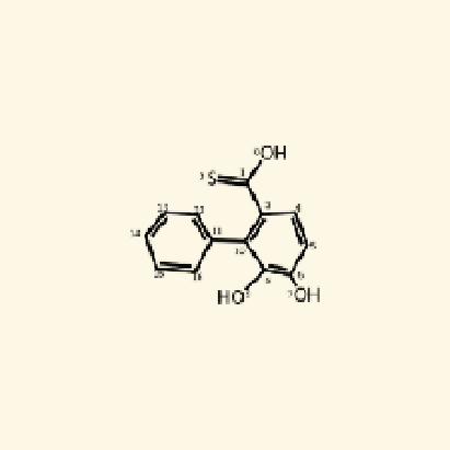 OC(=S)c1ccc(O)c(O)c1-c1ccccc1